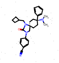 CN(C)[C@]1(c2ccccc2)CC[C@]2(CC1)CN(c1ccc(C#N)cc1)C(=O)N2CC1CCC1